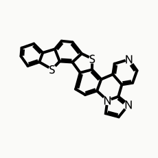 c1ccc2c(c1)sc1c2ccc2sc3c(ccc4c3c3cnccc3c3nccn43)c21